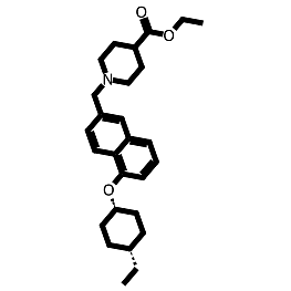 CCOC(=O)C1CCN(Cc2ccc3c(O[C@H]4CC[C@@H](CC)CC4)cccc3c2)CC1